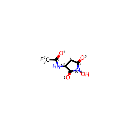 O=C1CC(NC(=O)C(F)(F)F)C(=O)N1O